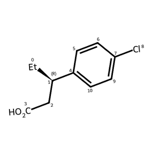 CC[C@H](CC(=O)O)c1ccc(Cl)cc1